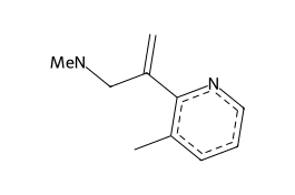 C=C(CNC)c1ncccc1C